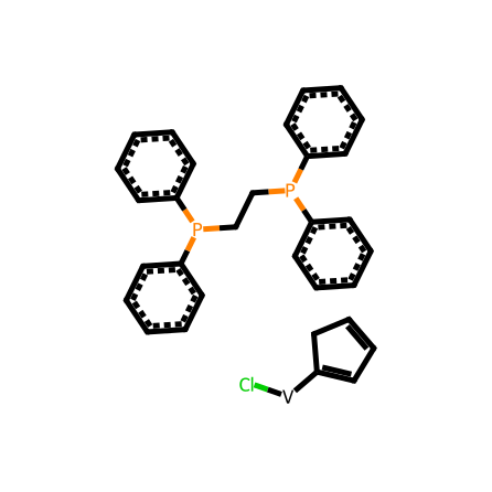 [Cl][V][C]1=CC=CC1.c1ccc(P(CCP(c2ccccc2)c2ccccc2)c2ccccc2)cc1